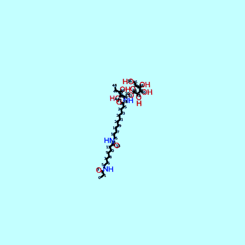 CCC(=O)NCCCCCCCC(=O)NCCCCCCCCCCCC(=O)N[C@@H](CO[C@H]1OC(CO)[C@H](O)[C@H](O)C1O)[C@H](O)[C@H](O)CC